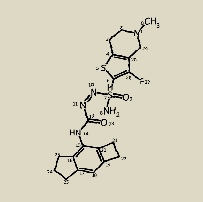 CN1CCc2sc([SH](N)(=O)/N=N\C(=O)Nc3c4c(cc5c3CC5)CCC4)c(F)c2C1